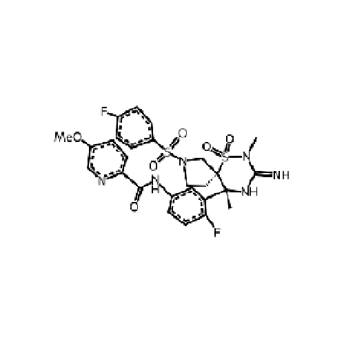 COc1ccc(C(=O)Nc2ccc(F)c([C@@]3(C)NC(=N)N(C)S(=O)(=O)[C@@]34CCN(S(=O)(=O)c3ccc(F)cc3)C4)c2)nc1